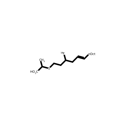 CCCCCCCC/C=C/CC([18F])CCSC(C)C(=O)O